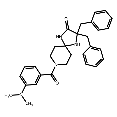 CN(C)c1cccc(C(=O)N2CCC3(CC2)NC(=O)C(Cc2ccccc2)(Cc2ccccc2)N3)c1